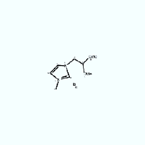 COC(Cn1cc[n+](C)c1)OC.[Br-]